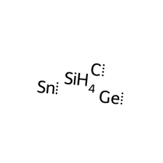 [C].[Ge].[SiH4].[Sn]